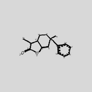 CC1C(=O)OC2CC(C)(c3ccccc3)CCC21